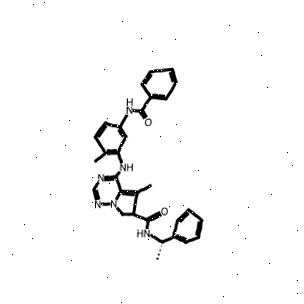 CC1=C2C(Nc3cc(NC(=O)c4ccccc4)ccc3C)=NC=NN2CC1C(=O)N[C@@H](C)c1ccccc1